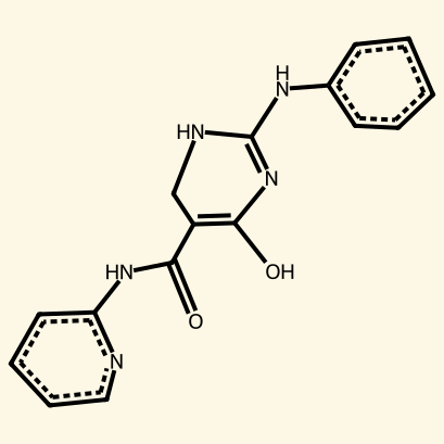 O=C(Nc1ccccn1)C1=C(O)N=C(Nc2ccccc2)NC1